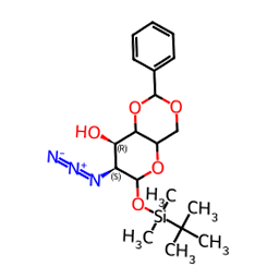 CC(C)(C)[Si](C)(C)OC1OC2COC(c3ccccc3)OC2[C@H](O)[C@@H]1N=[N+]=[N-]